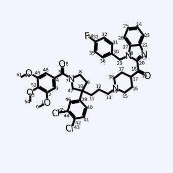 COc1cc(C(=O)N2CCC(CCCN3CCC(C(=O)c4nc5ccccc5n4Cc4ccc(F)cc4)CC3)(c3ccc(Cl)c(Cl)c3)C2)cc(OC)c1OC